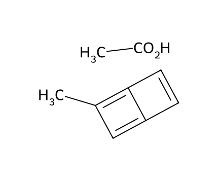 CC(=O)O.Cc1cc2ccc1-2